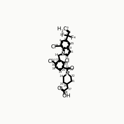 C=CC(F)(F)c1cc(Cl)c2c(ccn2Cc2c(Cl)ccc(C(=O)N3CCC(CC(=O)O)CC3)c2Cl)c1